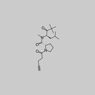 C#CCCC(=O)N1CCC[C@H]1C(=O)N(C)[C@H](CC(C)C)C(=O)C(C)(C)C